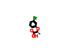 C[C@@H](Oc1cccc(Br)c1)C(=O)O